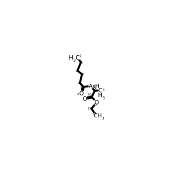 CCCCCC(=O)[AsH]C(C)C(=O)OCC